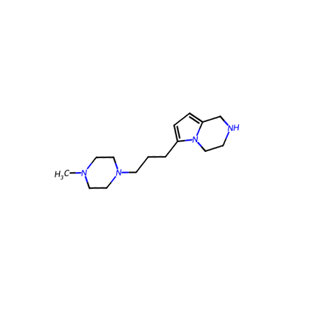 CN1CCN(CCCc2ccc3n2CCNC3)CC1